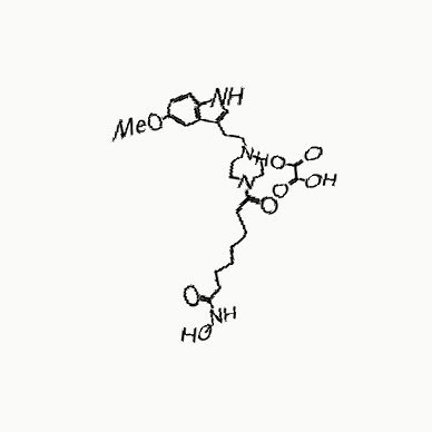 COc1ccc2[nH]cc(CCN3CCN(C(=O)CCCCCCC(=O)NO)CC3)c2c1.O=C(O)C(=O)O